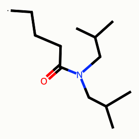 [CH2]CCCC(=O)N(CC(C)C)CC(C)C